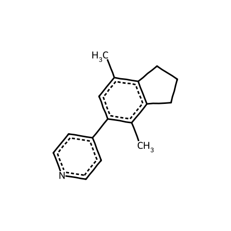 Cc1cc(-c2ccncc2)c(C)c2c1CCC2